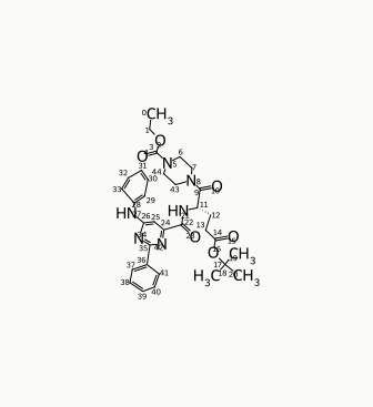 CCOC(=O)N1CCN(C(=O)[C@H](CCC(=O)OC(C)(C)C)NC(=O)c2cc(Nc3ccccc3)nc(-c3ccccc3)n2)CC1